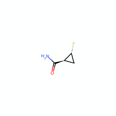 NC(=O)[C@@H]1C[C@H]1F